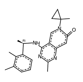 Cc1nc(N[C@H](C)c2cccc(C)c2C)c2cn(C3(C)CC3)c(=O)cc2n1